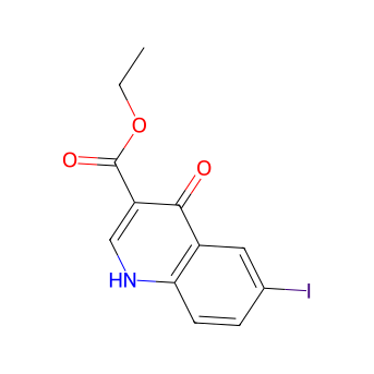 CCOC(=O)c1c[nH]c2ccc(I)cc2c1=O